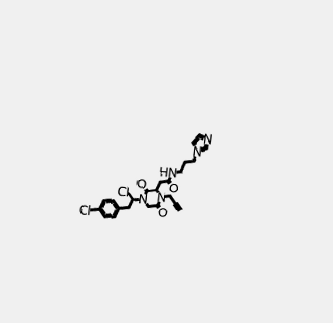 C#CCN1C(=O)CN(C(Cl)Cc2ccc(Cl)cc2)C(=O)C1CC(=O)NCCCn1ccnc1